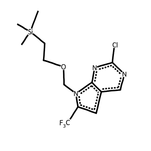 C[Si](C)(C)CCOCn1c(C(F)(F)F)cc2cnc(Cl)nc21